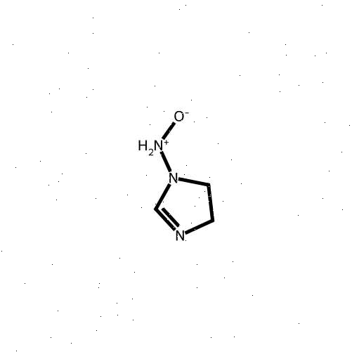 [O-][NH2+]N1C=NCC1